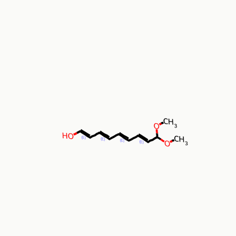 COC(/C=C/C=C/C=C/C=C/O)OC